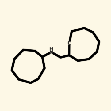 C1CCCCC(CNC2CCCCCCCC2)CCC1